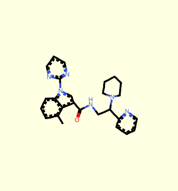 Cc1cccc2c1c(C(=O)NCC(c1ccccn1)N1CCCCC1)cn2-c1ncccn1